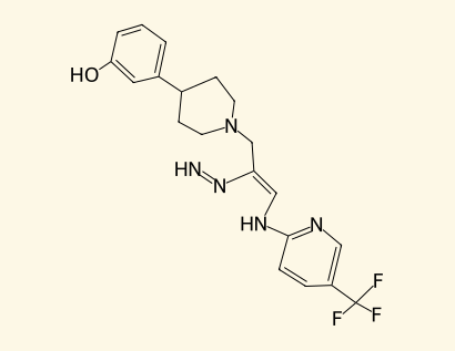 N=N/C(=C\Nc1ccc(C(F)(F)F)cn1)CN1CCC(c2cccc(O)c2)CC1